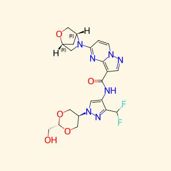 O=C(Nc1cn([C@H]2CO[C@H](CO)OC2)nc1C(F)F)c1cnn2ccc(N3C[C@H]4C[C@@H]3CO4)nc12